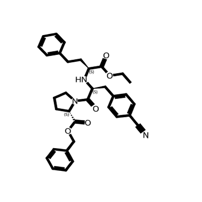 CCOC(=O)[C@H](CCc1ccccc1)N[C@@H](Cc1ccc(C#N)cc1)C(=O)N1CCC[C@H]1C(=O)OCc1ccccc1